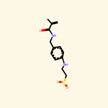 C=C(C)C(=O)NCc1ccc(NCC[SH](=O)=O)cc1